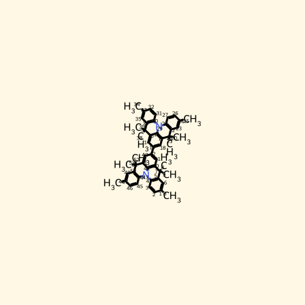 Cc1ccc2c(c1)C(C)(C)c1cc(-c3cc4c5c(c3)C(C)(C)c3cc(C)ccc3N5c3ccc(C)cc3C4(C)C)cc3c1N2c1ccc(C)cc1C3(C)C